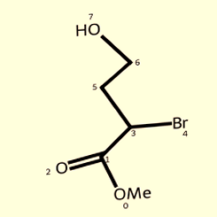 COC(=O)C(Br)CCO